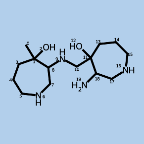 CC1(O)CCCNCC1NCC1(O)CCCNCC1N